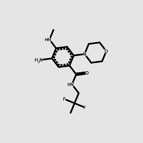 CNc1cc(N2CCOCC2)c(C(=O)NCC(C)(F)F)cc1N